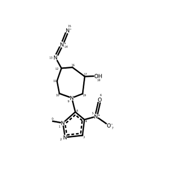 Cn1ncc([N+](=O)[O-])c1N1CCC(N=[N+]=[N-])CC(O)C1